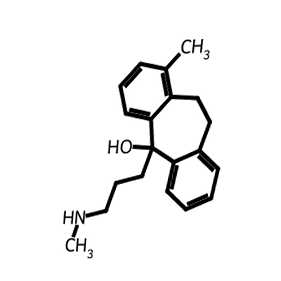 CNCCCC1(O)c2ccccc2CCc2c(C)cccc21